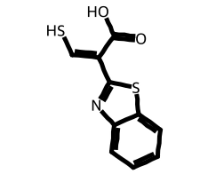 O=C(O)C(=CS)c1nc2ccccc2s1